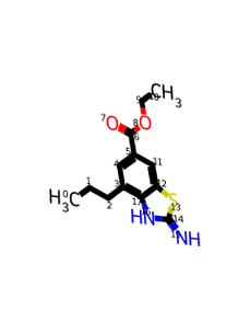 CCCc1cc(C(=O)OCC)cc2sc(=N)[nH]c12